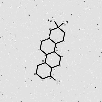 CCCCCC1(C#N)CCC2C(CCC3C4CCCC(CCCC)C4CCC23)C1